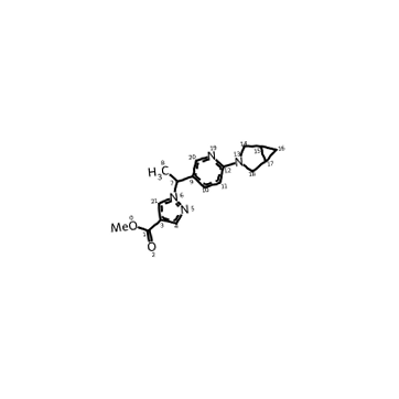 COC(=O)c1cnn(C(C)c2ccc(N3CC4CC4C3)nc2)c1